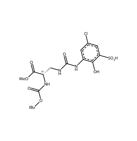 COC(=O)[C@H](CNC(=O)Nc1cc(Cl)cc(S(=O)(=O)O)c1O)NC(=O)OC(C)(C)C